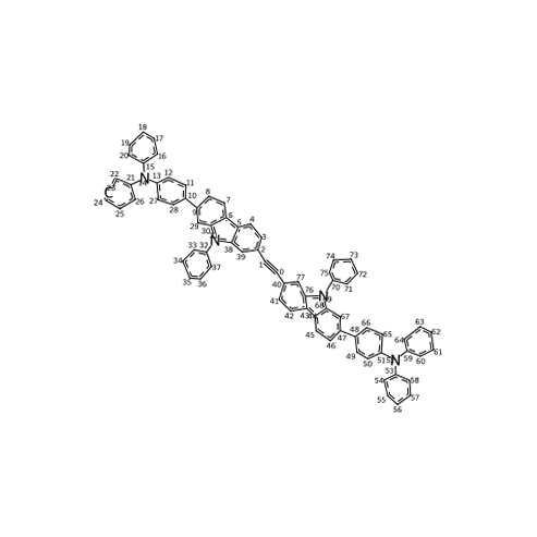 C(#Cc1ccc2c3ccc(-c4ccc(N(c5ccccc5)c5ccccc5)cc4)cc3n(-c3ccccc3)c2c1)c1ccc2c3ccc(-c4ccc(N(c5ccccc5)c5ccccc5)cc4)cc3n(-c3ccccc3)c2c1